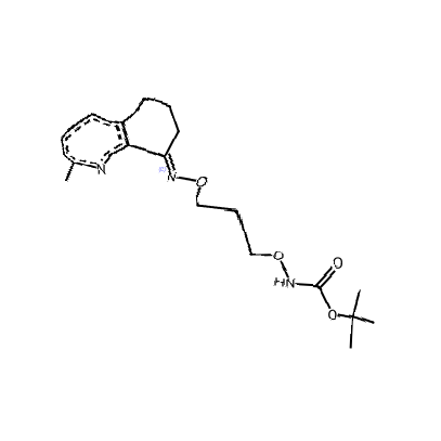 Cc1ccc2c(n1)/C(=N/OCCCONC(=O)OC(C)(C)C)CCC2